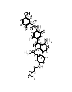 COCCN[C@H]1CC[C@H](c2cnc(N)c3c(-c4cc(F)c(NS(=O)(=O)c5cc(C)ccc5F)cc4F)nn(C(C)C)c32)CC1